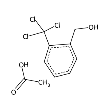 CC(=O)O.OCc1ccccc1C(Cl)(Cl)Cl